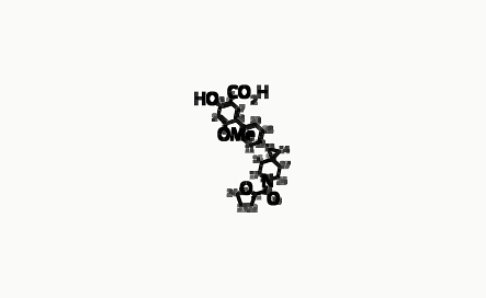 COc1cc(O)c(C(=O)O)cc1-c1ccc([C@@H]2CC23CCN(C(=O)C2CCCO2)CC3)cc1